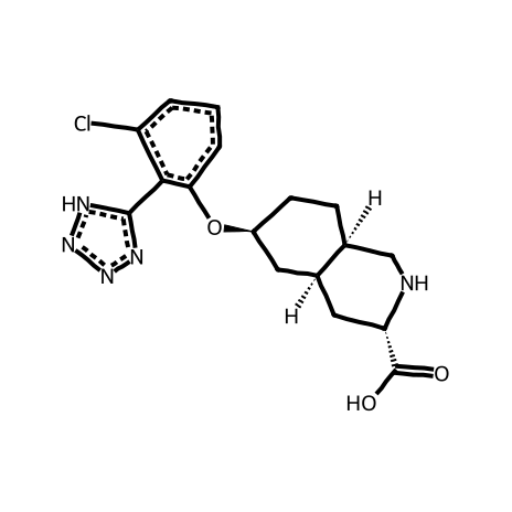 O=C(O)[C@@H]1C[C@H]2C[C@@H](Oc3cccc(Cl)c3-c3nnn[nH]3)CC[C@H]2CN1